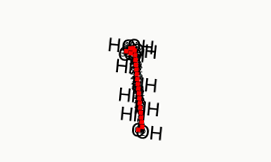 O=C(O)CCCCCNCCNCCCCNCCCCNCCCCCCNCCCCO[C@H]1O[C@H](CO)[C@@H](O)[C@H](O)[C@@H]1O